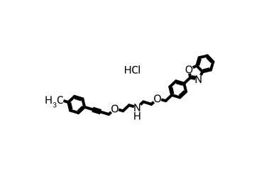 Cc1ccc(C#CCOCCNCCOCc2ccc(-c3nc4ccccc4o3)cc2)cc1.Cl